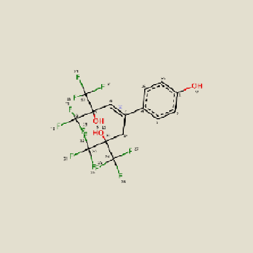 Oc1ccc(/C(=C/C(O)(C(F)(F)F)C(F)(F)F)CC(O)(C(F)(F)F)C(F)(F)F)cc1